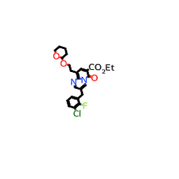 CCOC(=O)c1cc(CCOC2CCCCO2)c2ncc(Cc3cccc(Cl)c3F)cn2c1=O